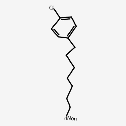 CCCCCCCCCCCCCCCCc1ccc(Cl)cc1